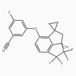 N#Cc1cc(F)cc(Oc2ccc3c4c2C2(CC2)CC4(O)C(F)(F)C3(F)F)c1